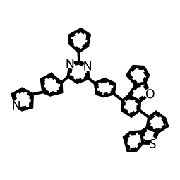 c1ccc(-c2nc(-c3ccc(-c4ccncc4)cc3)cc(-c3ccc(-c4ccc(-c5cccc6sc7ccccc7c56)c5oc6ccccc6c45)cc3)n2)cc1